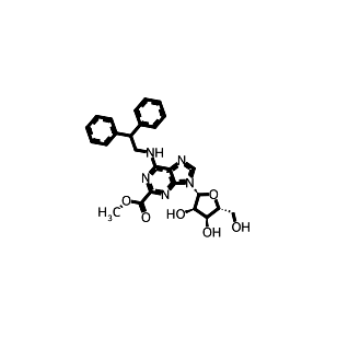 COC(=O)c1nc(NCC(c2ccccc2)c2ccccc2)c2ncn([C@@H]3O[C@H](CO)[C@@H](O)[C@H]3O)c2n1